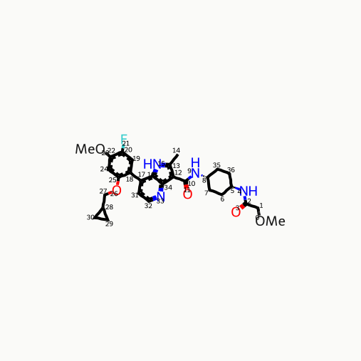 COCC(=O)N[C@H]1CC[C@H](NC(=O)c2c(C)[nH]c3c(-c4cc(F)c(OC)cc4OCC4CC4)ccnc23)CC1